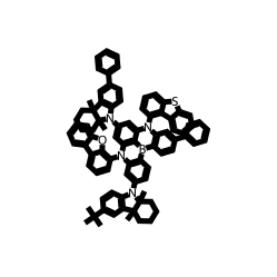 CC(C)(C)c1ccc2c(c1)C1(C)CCCCC1(C)N2c1ccc2c(c1)N(c1cccc3c1oc1ccccc13)c1cc(N3c4ccc(-c5ccccc5)cc4C4(C)CCCCC34C)cc3c1B2c1ccc(-c2ccccc2)cc1N3c1cccc2sc3ccccc3c12